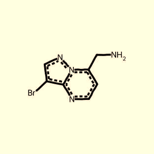 NCc1ccnc2c(Br)cnn12